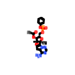 CC(C)C(=O)O[C@@H]1[C@@H](CO[PH](=O)Oc2ccccc2)O[C@@](C#N)(c2ccc3c(N)ncnn23)[C@]1(C)O